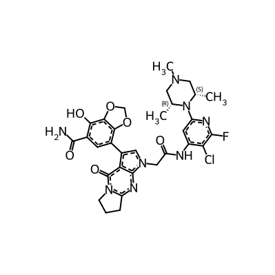 C[C@@H]1CN(C)C[C@H](C)N1c1cc(NC(=O)Cn2cc(-c3cc(C(N)=O)c(O)c4c3OCO4)c3c(=O)n4c(nc32)CCC4)c(Cl)c(F)n1